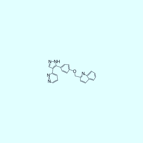 c1cnnc(-c2cn[nH]c2-c2ccc(OCc3ccc4ccccc4n3)cc2)c1